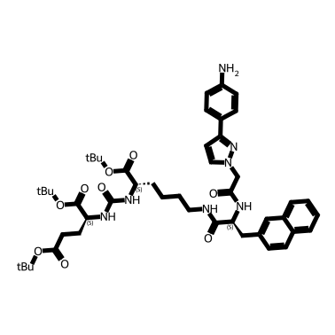 CC(C)(C)OC(=O)CC[C@H](NC(=O)N[C@@H](CCCCNC(=O)[C@H](Cc1ccc2ccccc2c1)NC(=O)Cn1ccc(-c2ccc(N)cc2)n1)C(=O)OC(C)(C)C)C(=O)OC(C)(C)C